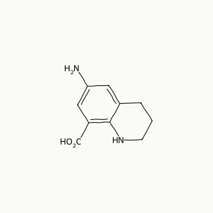 Nc1cc2c(c(C(=O)O)c1)NCCC2